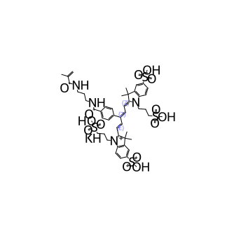 C=C(C)C(=O)NCCCNC(=O)c1ccc(C(=C\C=C2/N(CCCS(=O)(=O)O)c3ccc(S(=O)(=O)O)cc3C2(C)C)/C=C/C2=[N+](CCCS(=O)(=O)O)c3ccc(S(=O)(=O)O)cc3C2(C)C)cc1.[KH]